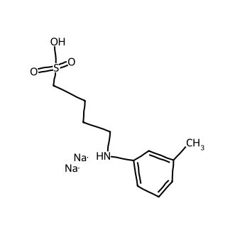 Cc1cccc(NCCCCS(=O)(=O)O)c1.[Na].[Na]